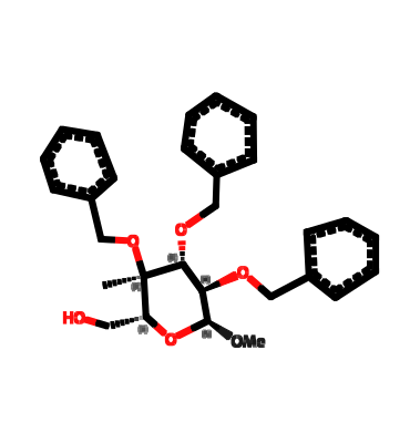 CO[C@H]1O[C@H](CO)[C@@](C)(OCc2ccccc2)[C@H](OCc2ccccc2)[C@H]1OCc1ccccc1